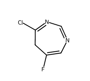 FC1=CN=CN=C(Cl)C1